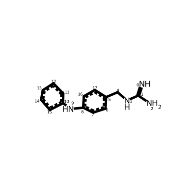 N=C(N)NCc1ccc(Nc2[c]cccc2)cc1